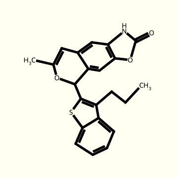 CCCc1c(C2OC(C)=Cc3cc4[nH]c(=O)oc4cc32)sc2ccccc12